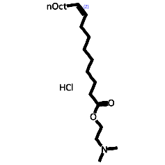 CCCCCCCC/C=C\CCCCCCCC(=O)OCCN(C)C.Cl